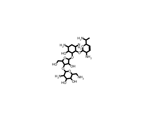 CC(N)C1C=CC(N)C(OC2C(N)CC(N)C(O)C2OC2OC(CO)C(OC3OC(CN)C(O)C(O)C3N)C2O)O1